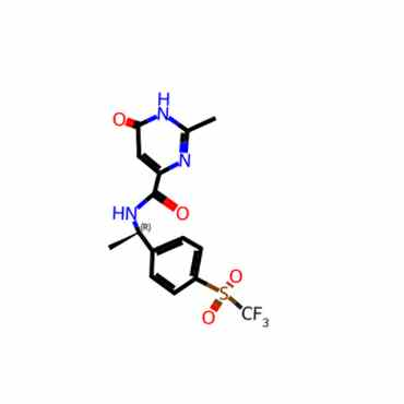 Cc1nc(C(=O)N[C@H](C)c2ccc(S(=O)(=O)C(F)(F)F)cc2)cc(=O)[nH]1